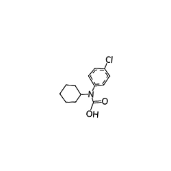 O=C(O)N(c1ccc(Cl)cc1)C1CCCCC1